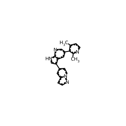 Cc1ccnc(C)c1-c1cnc2[nH]cc(-c3ccn4nccc4c3)c2c1